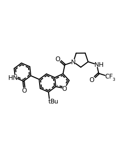 CC(C)(C)c1cc(-c2ccc[nH]c2=O)cc2c(C(=O)N3CCC(NC(=O)C(F)(F)F)C3)coc12